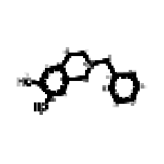 Oc1cc2c(cc1O)CN(Cc1ccccc1)CC2